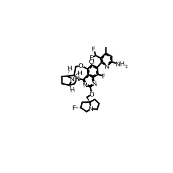 Cc1cc(N)nc(-c2c(Cl)c3c4c(nc(OC[C@@]56CCCN5C[C@H](F)C6)nc4c2F)N2C[C@H]4CC[C@H](N4)[C@H]2CO3)c1C(F)F